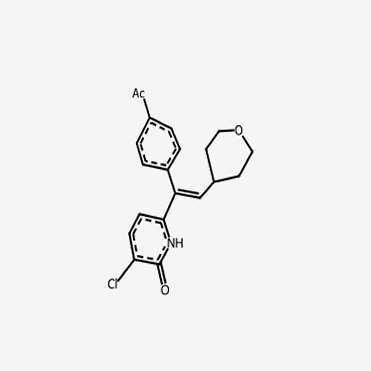 CC(=O)c1ccc(/C(=C\C2CCOCC2)c2ccc(Cl)c(=O)[nH]2)cc1